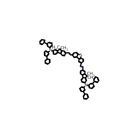 CC1(C)c2cc(/C=C/c3ccc4sc5ccc(/C=C/c6ccc7c(c6)C(C)(C)c6cc(N(c8cccc(-c9ccccc9)c8)c8cccc(-c9ccccc9)c8)ccc6-7)cc5c4c3)ccc2-c2ccc(N(c3cccc(-c4ccccc4)c3)c3cccc(-c4ccccc4)c3)cc21